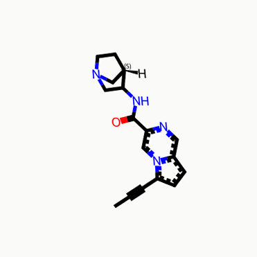 CC#Cc1ccc2cnc(C(=O)NC3CN4CC[C@H]3C4)cn12